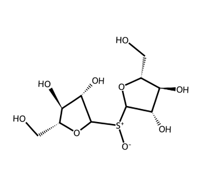 [O-][S+](C1O[C@H](CO)[C@@H](O)[C@@H]1O)C1O[C@H](CO)[C@@H](O)[C@@H]1O